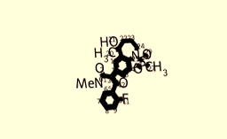 CNC(=O)c1c(-c2ccccc2F)oc2cc3c(cc12)C(C)(O)CCCN3S(C)(=O)=O